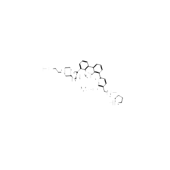 COc1nc(-c2cccc(-c3cccc(-c4nnc5n4CCN(CCO)C5)c3Cl)c2Cl)ccc1CNC[C@@H]1CCC(=O)N1